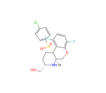 O=S(=O)(c1ccc(Cl)cc1)[C@@]12CC[C@@H](CO)N[C@@H]1COc1c(F)ccc(F)c12